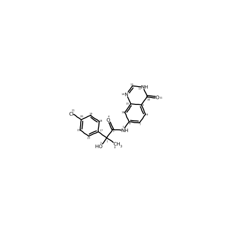 CC(O)(C(=O)Nc1ccc2c(=O)[nH]cnc2c1)c1ccc(Cl)cc1